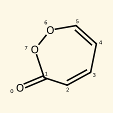 O=C1C=CC=COO1